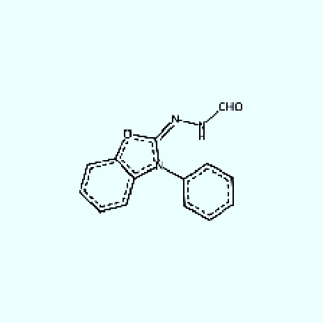 O=CNN=c1oc2ccccc2n1-c1ccccc1